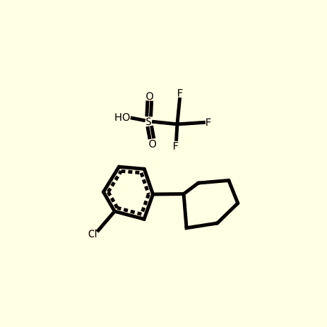 Clc1cccc(C2CCCCC2)c1.O=S(=O)(O)C(F)(F)F